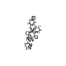 O=C(c1nc(-c2cccnn2)no1)C1c2ccccc2N(Cc2ccc(Cl)cc2)C1Cl